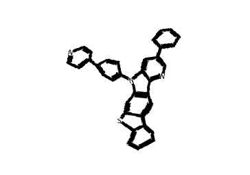 c1ccc(-c2cnc3c4cc5c(cc4n(-c4ccc(-c6ccncc6)cc4)c3c2)sc2ccccc25)cc1